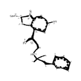 CC(C)(Cc1ccccc1)NCC(O)c1cc(O)cc2c1S[C@H](C=O)N2